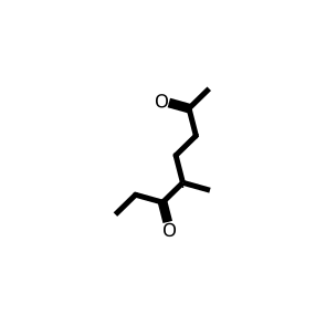 CCC(=O)[C](C)CCC(C)=O